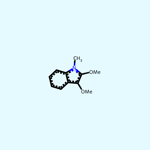 COc1c(OC)n(C)c2ccccc12